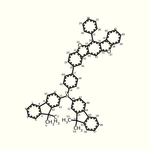 CC1(C)c2ccccc2-c2ccc(N(c3ccc(-c4ccc5oc6c(-c7ccccc7)c7c(cc6c5c4)oc4ccccc47)cc3)c3ccc4c(c3)C(C)(C)c3ccccc3-4)cc21